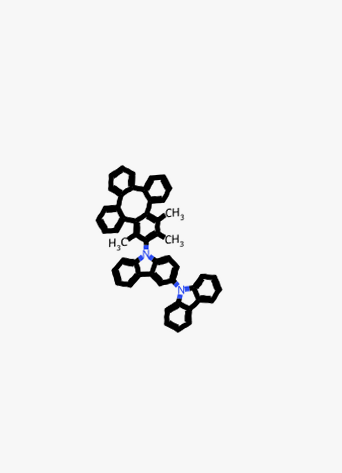 Cc1c(C)c(-n2c3ccccc3c3cc(-n4c5ccccc5c5ccccc54)ccc32)c(C)c2c1-c1ccccc1-c1ccccc1-c1ccccc1-2